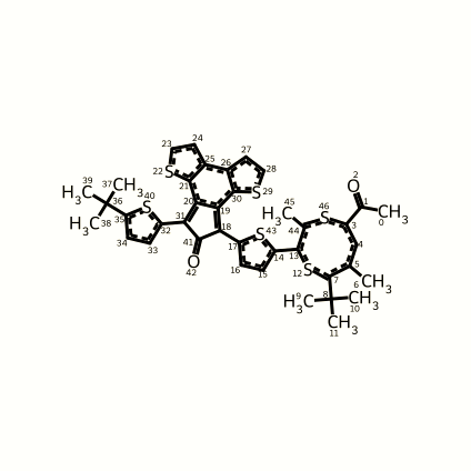 CC(=O)c1cc(C)c(C(C)(C)C)sc(-c2ccc(C3=c4c(c5sccc5c5ccsc45)=C(c4ccc(C(C)(C)C)s4)C3=O)s2)c(C)s1